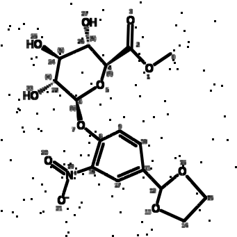 COC(=O)[C@H]1O[C@@H](Oc2ccc(C3OCCO3)cc2[N+](=O)[O-])[C@H](O)[C@@H](O)[C@@H]1O